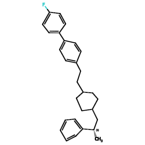 C[C@@H](CC1CCC(CCc2ccc(-c3ccc(F)cc3)cc2)CC1)c1ccccc1